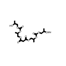 COC(C)COC(=O)OC(C)COC(=O)CC(=O)OCC(C)OC(=O)OCC(C)O